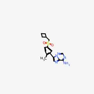 Cc1ccc(S(=O)(=O)CC2CCC2)cc1-c1cnc2c(N)ncnn12